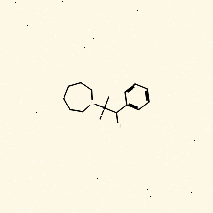 CC(C)(C(N)c1ccccc1)N1CCCCCC1